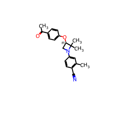 CC(=O)c1ccc(O[C@@H]2CN(c3ccc(C#N)c(C)c3)C2(C)C)cc1